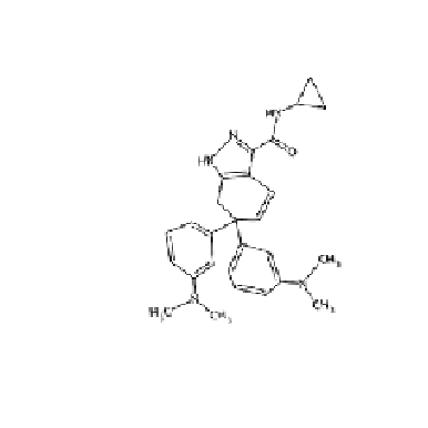 CN(C)c1cccc(C2(c3cccc(N(C)C)c3)C=Cc3c(C(=O)NC4CC4)n[nH]c3C2)c1